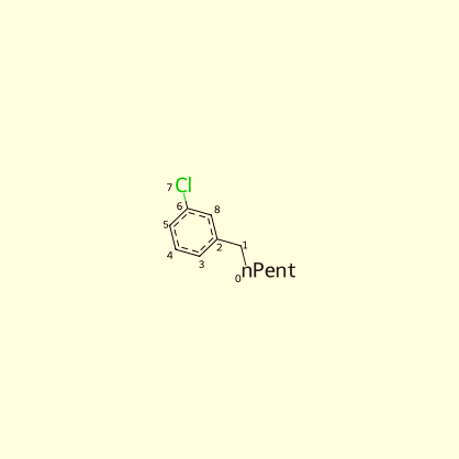 CCCCCCc1cccc(Cl)c1